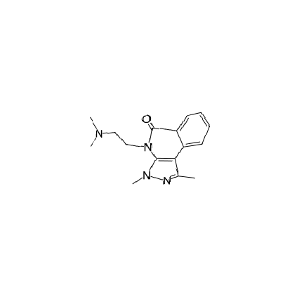 Cc1nn(C)c2c1c1ccccc1c(=O)n2CCN(C)C